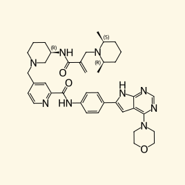 C=C(CN1[C@H](C)CCC[C@@H]1C)C(=O)N[C@@H]1CCCN(Cc2ccnc(C(=O)Nc3ccc(-c4cc5c(N6CCOCC6)ncnc5[nH]4)cc3)c2)C1